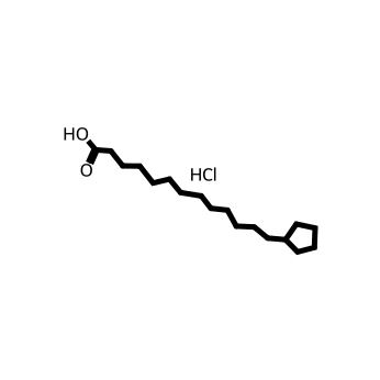 Cl.O=C(O)CCCCCCCCCCCCC1CCCC1